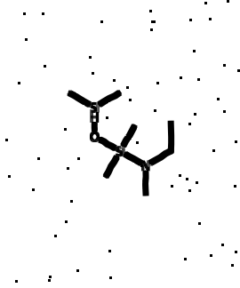 CCN(C)[Si](C)(C)O[SiH](C)C